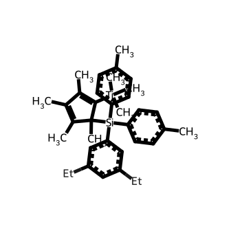 CCc1cc(CC)cc([Si](c2ccc(C)cc2)(c2ccc(C)cc2)C2(C)C(C)=C(C)C(C)=[C]2[Ti]([CH3])([CH3])[CH3])c1